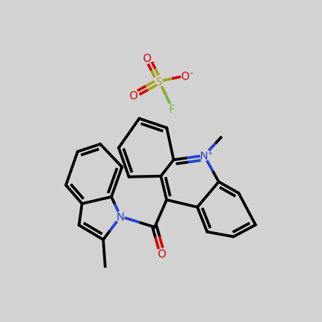 Cc1cc2ccccc2n1C(=O)c1c2ccccc2[n+](C)c2ccccc12.O=S(=O)([O-])F